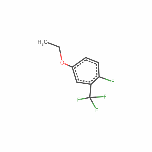 CCOc1ccc(F)c(C(F)(F)F)c1